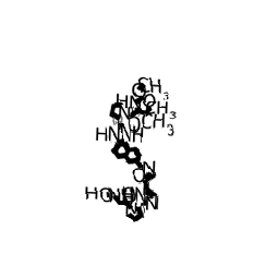 COC(=O)N[C@H](C(=O)N1CCC[C@H]1C1Nc2ccc3cc(-c4ncc(-c5cnc([C@@H]6CCCN6C(=O)CNO)[nH]5)o4)ccc3c2N1)C(C)C